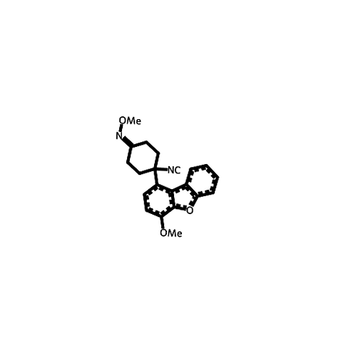 [C-]#[N+]C1(c2ccc(OC)c3oc4ccccc4c23)CCC(=NOC)CC1